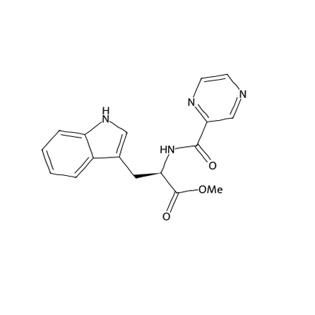 COC(=O)[C@@H](Cc1c[nH]c2ccccc12)NC(=O)c1cnccn1